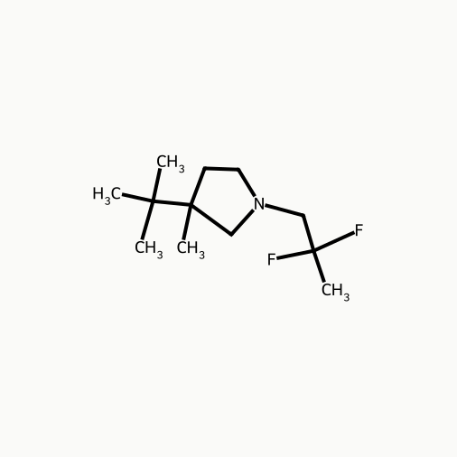 CC(F)(F)CN1CCC(C)(C(C)(C)C)C1